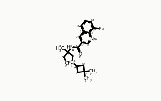 CC1(C)CC(OCC(C)(CC(F)(F)F)NC(=O)c2cnc3c(F)cccc3c2)C1